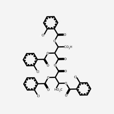 O=C(OC(C(=O)O)C(OC(=O)c1ccccc1Cl)C(=O)OC(=O)C(OC(=O)c1ccccc1Cl)C(OC(=O)c1ccccc1Cl)C(=O)O)c1ccccc1Cl